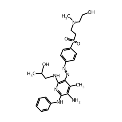 Cc1c(N)c(Nc2ccccc2)nc(NCC(C)O)c1/N=N/c1ccc(S(=O)(=O)CCN(C)CCO)cc1